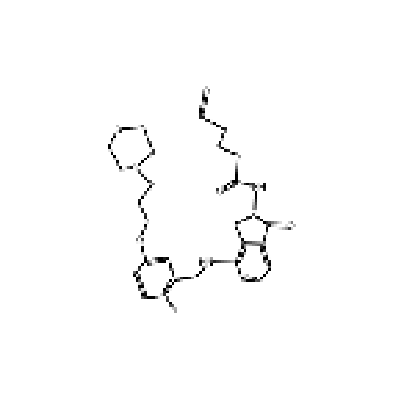 O=CCCCC(=O)NN1Cc2c(NCc3cc(OCCCN4CCOCC4)ccc3F)cccc2C1=O